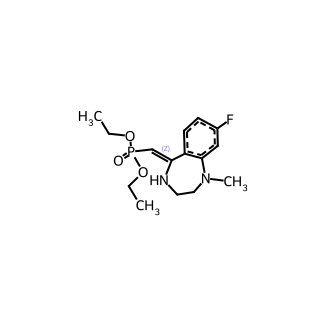 CCOP(=O)(/C=C1\NCCN(C)c2cc(F)ccc21)OCC